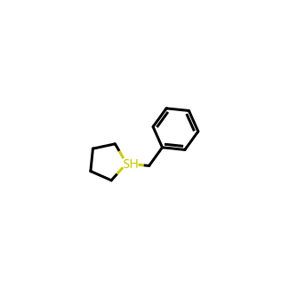 c1ccc(C[SH]2CCCC2)cc1